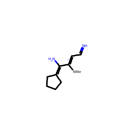 CN/C(=C\C=N)C(N)=C1CCCC1